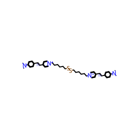 CN(C)c1ccc(/C=C/c2cc[n+](CCCCCCSSCCCCCC[n+]3ccc(/C=C/c4ccc(N(C)C)cc4)cc3)cc2)cc1